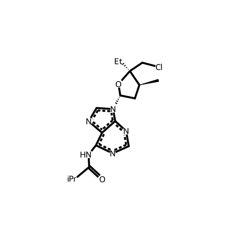 CC[C@@]1(CCl)O[C@@H](n2cnc3c(NC(=O)C(C)C)ncnc32)C[C@@H]1C